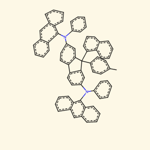 Cc1ccc(C2(c3cccc4ccccc34)c3cc(N(c4ccccc4)c4c5ccccc5cc5ccccc45)ccc3-c3ccc(N(c4ccccc4)c4c5ccccc5cc5ccccc45)cc32)cc1